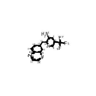 Nc1cc(C(F)(F)F)cnc1Cc1ccc2nccnc2c1